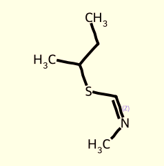 CCC(C)S/C=N\C